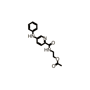 CC(=O)OCCNC(=O)c1ccc(Nc2ccccc2)cn1